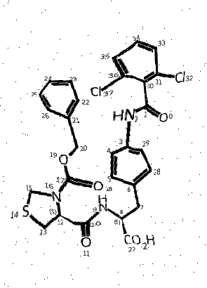 O=C(Nc1ccc(C[C@H](NC(=O)[C@H]2CSCN2C(=O)OCc2ccccc2)C(=O)O)cc1)c1c(Cl)cccc1Cl